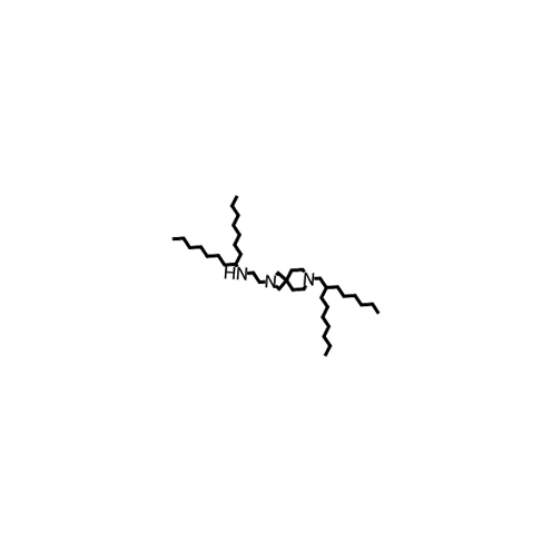 CCCCCCCC(CCCCCC)CN1CCC2(CC1)CN(CCNC(CCCCCCC)CCCCCCC)C2